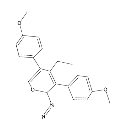 CCC1=C(c2ccc(OC)cc2)C(N=[N])OC=C1c1ccc(OC)cc1